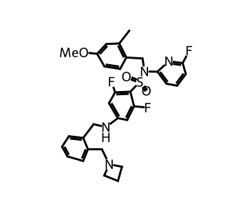 COc1ccc(CN(c2cccc(F)n2)S(=O)(=O)c2c(F)cc(NCc3ccccc3CN3CCC3)cc2F)c(C)c1